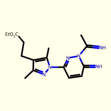 CCOC(=O)CCc1c(C)nn(-c2ccc(=N)n(C(C)=N)n2)c1C